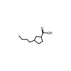 CCCCC1CCC(C(=O)O)C1